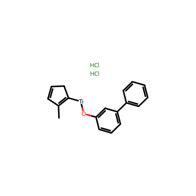 CC1=[C]([Ti][O]c2cccc(-c3ccccc3)c2)CC=C1.Cl.Cl